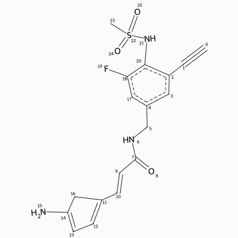 C#Cc1cc(CNC(=O)/C=C/C2=CC=C(N)C2)cc(F)c1NS(C)(=O)=O